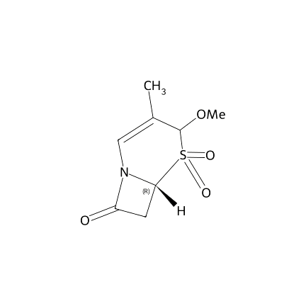 COC1C(C)=CN2C(=O)C[C@H]2S1(=O)=O